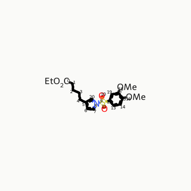 CCOC(=O)CCCCc1ccn(S(=O)(=O)c2ccc(OC)c(OC)c2)c1